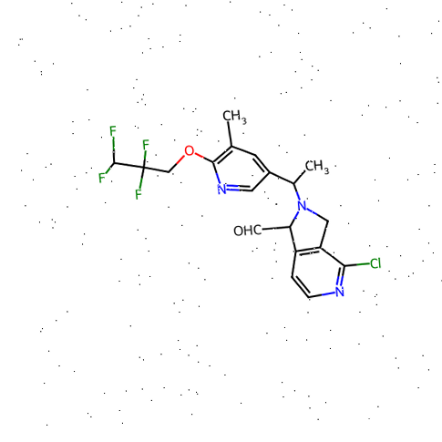 Cc1cc(C(C)N2Cc3c(ccnc3Cl)C2C=O)cnc1OCC(F)(F)C(F)F